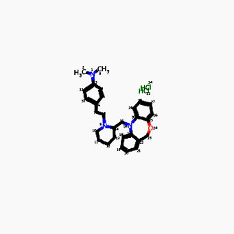 CN(C)c1ccc(CCN2CCCCC2CN2c3ccccc3COc3ccccc32)cc1.Cl.Cl